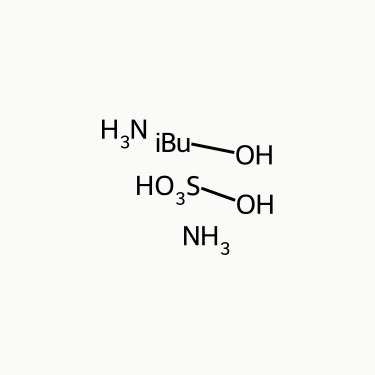 CCC(C)O.N.N.O=S(=O)(O)O